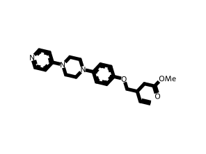 C=CC(COc1ccc(N2CCN(c3ccncc3)CC2)cc1)CC(=O)OC